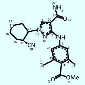 COC(=O)c1c(F)cc(Nc2nn(C3COCC[C@@H]3C#N)cc2C(N)=O)cc1Br